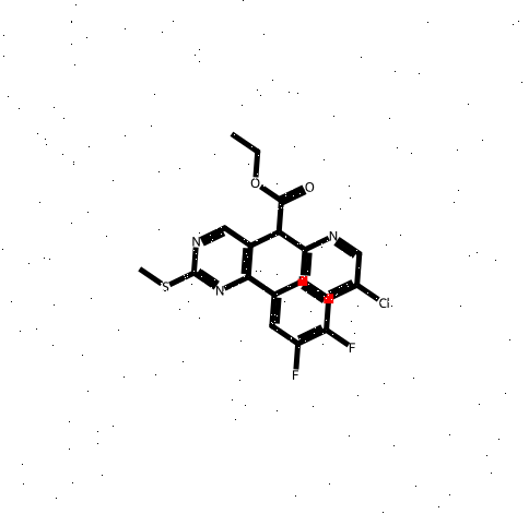 CCOC(=O)C(c1ncc(Cl)cn1)c1cnc(SC)nc1-c1ccc(F)c(F)c1